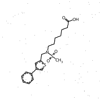 CS(=O)(=O)N(CCCCCCC(=O)O)Cc1cc(-c2ccccc2)cs1